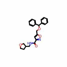 O=C(NCC1CCOC1)c1cc(COC(c2ccccc2)c2ccccc2)on1